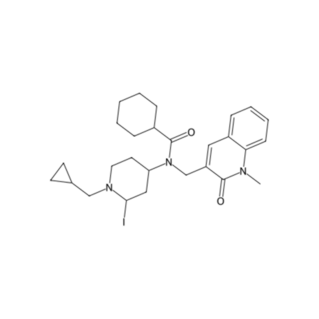 Cn1c(=O)c(CN(C(=O)C2CCCCC2)C2CCN(CC3CC3)C(I)C2)cc2ccccc21